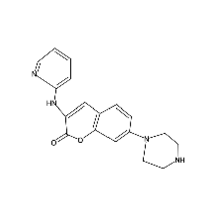 O=c1oc2cc(N3CCNCC3)ccc2cc1Nc1ccccn1